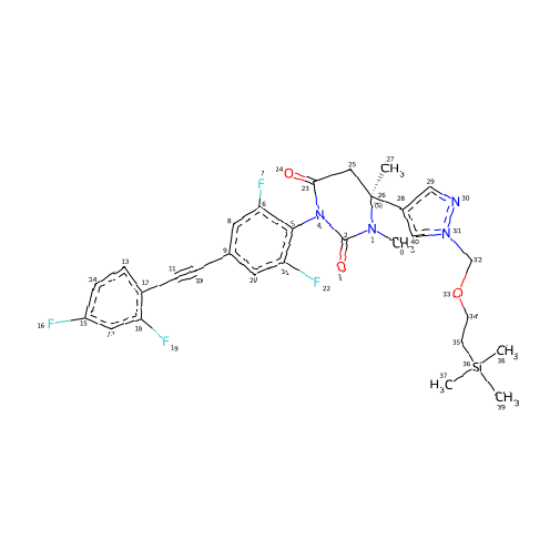 CN1C(=O)N(c2c(F)cc(C#Cc3ccc(F)cc3F)cc2F)C(=O)C[C@@]1(C)c1cnn(COCC[Si](C)(C)C)c1